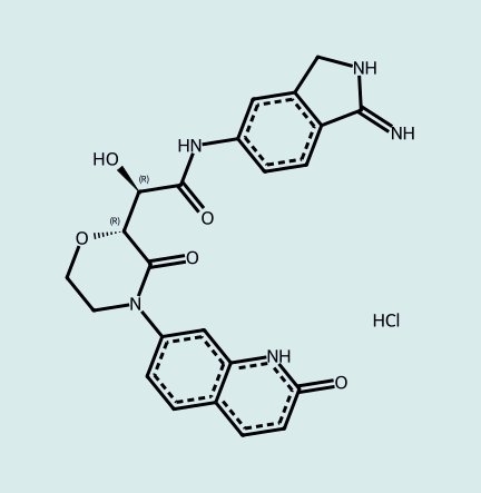 Cl.N=C1NCc2cc(NC(=O)[C@H](O)[C@H]3OCCN(c4ccc5ccc(=O)[nH]c5c4)C3=O)ccc21